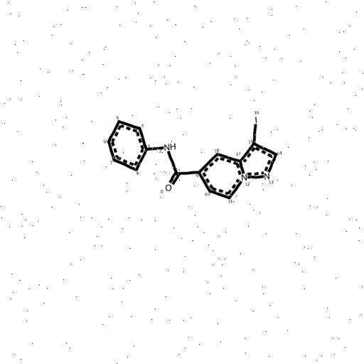 O=C(Nc1ccccc1)c1ccn2ncc(I)c2c1